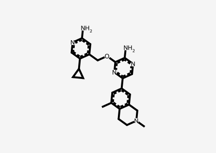 Cc1cc(-c2cnc(N)c(OCc3cc(N)ncc3C3CC3)n2)cc2c1CCN(C)C2